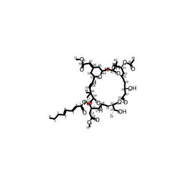 CCC/C=C/C=C/C(=O)O[C@H]1C(CC(=O)OC)C[C@H]2C[C@H]([C@@H](C)O)OC(=O)C[C@H](O)CC3C[C@H](OC(C)=O)C(C)(C)[C@](O)(C[C@@H]4C/C(=C/C(=O)OC)C[C@H](/C=C/C(C)(C)[C@]1(O)O2)O4)O3